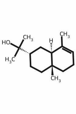 CC1=CCC[C@]2(C)CC[C@H](C(C)(C)O)C[C@@H]12